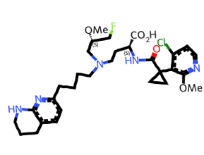 COc1nccc(Cl)c1C1(C(=O)N[C@@H](CCN(CCCCc2ccc3c(n2)NCCC3)C[C@@H](CF)OC)C(=O)O)CC1